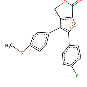 CSc1ccc(-c2c(-c3ccc(F)cc3)sc3c2COC3=O)cc1